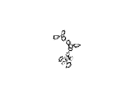 O=c1c2c(n(-c3ccccc3)c(=O)n1-c1ccccc1)=CCC(c1ccc3c(c1)c1cc(-c4ccc5c(c4)c4ccccc4n5-c4ccccc4)ccc1n3-c1ccccc1)C=2